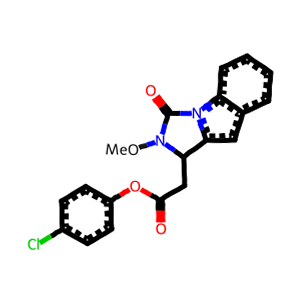 CON1C(=O)n2c(cc3ccccc32)C1CC(=O)Oc1ccc(Cl)cc1